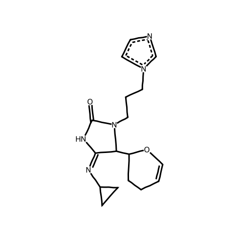 O=C1N/C(=N/C2CC2)C(C2CCC=CO2)N1CCCn1ccnc1